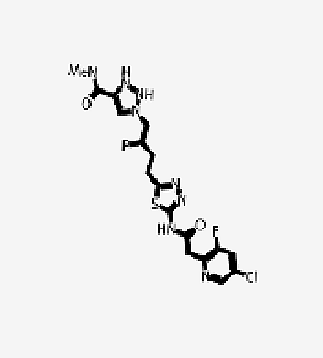 CNC(=O)C1=CN(CC(F)CCc2nnc(NC(=O)Cc3ncc(Cl)cc3F)s2)NN1